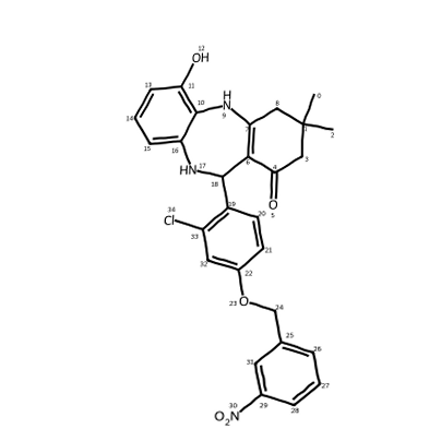 CC1(C)CC(=O)C2=C(C1)Nc1c(O)cccc1NC2c1ccc(OCc2cccc([N+](=O)[O-])c2)cc1Cl